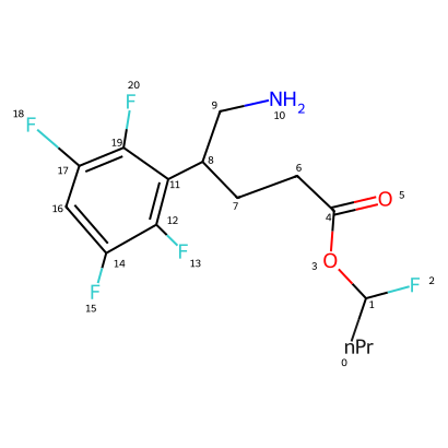 CCCC(F)OC(=O)CCC(CN)c1c(F)c(F)cc(F)c1F